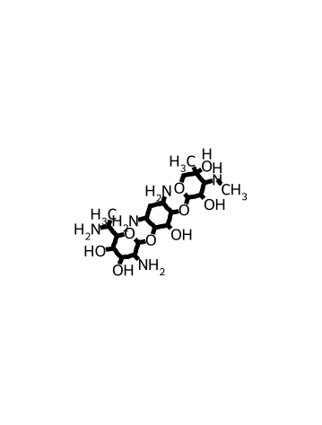 CNC1C(O)C(OC2C(N)CC(N)C(OC3OC(C(C)N)C(O)C(O)C3N)C2O)OCC1(C)O